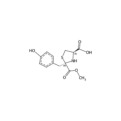 COC(=O)[C@]1(Cc2ccc(O)cc2)N[C@H](C(=O)O)CS1